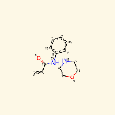 C1COCCN1.C=CC(=O)Nc1ccccc1